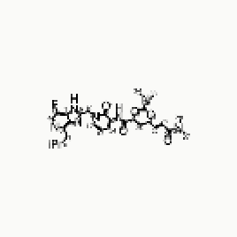 CC(C)Cc1ncc(F)c2[nH]c(Cn3cccc(NC(=O)C(CCC=CC(=O)N(C)C)OC(=O)N(C)C)c3=O)nc12